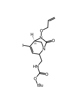 C=CCON1C(=O)N2C[C@H]1C(I)=CC2CNC(=O)OC(C)(C)C